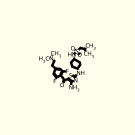 CC(C)CS(=O)(=O)N[C@H]1CC[C@H](Nc2nc(N)c(C(=O)c3c(F)cc(CCN(C)C)cc3F)s2)CC1